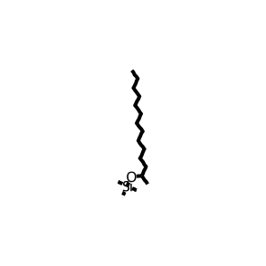 CCCCCCCCCCCCC(C)O[Si](C)(C)C